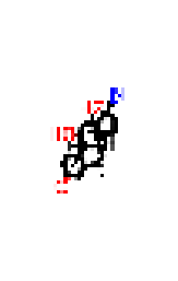 C[C@H]1C[C@@H]2[C@H]([C@@H](O)C[C@@]3(C)[C@H]2CC[C@]3(O)C#N)[C@@]2(C)C=CC(=O)C=C12